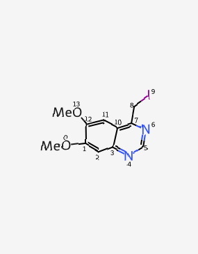 COc1cc2ncnc(CI)c2cc1OC